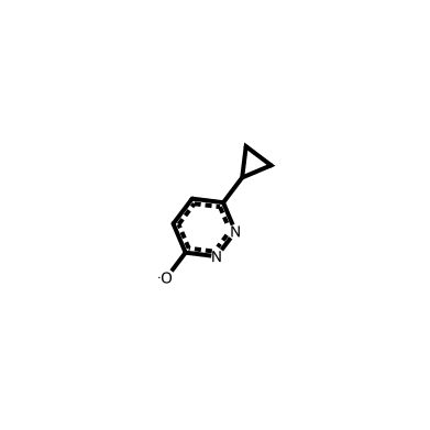 [O]c1ccc(C2CC2)nn1